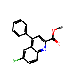 CC(C)OC(=O)c1cc(-c2ccccc2)c2cc(Br)ccc2n1